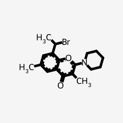 Cc1cc(C(C)Br)c2oc(N3CCCCC3)c(C)c(=O)c2c1